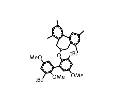 COc1cc(-c2cc(OC)cc(C(C)(C)C)c2OP2Cc3c(C)cc(C)cc3-c3cc(C)cc(C)c3C2)c(OC)c(C(C)(C)C)c1